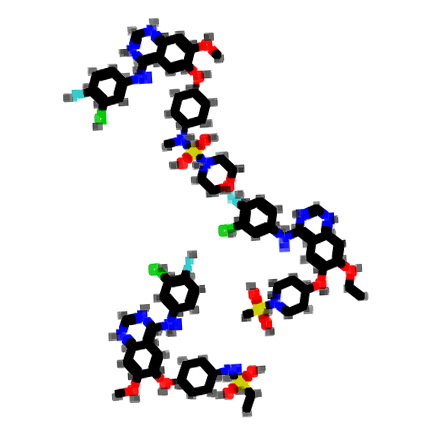 CCOc1cc2ncnc(Nc3ccc(F)c(Cl)c3)c2cc1OC1CCN(S(C)(=O)=O)CC1.CCS(=O)(=O)N[C@H]1CC[C@H](Oc2cc3c(Nc4ccc(F)c(Cl)c4)ncnc3cc2OC)CC1.COc1cc2ncnc(Nc3ccc(F)c(Cl)c3)c2cc1O[C@H]1CC[C@@H](N(C)S(=O)(=O)N2CCOCC2)CC1